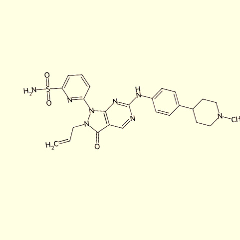 C=CCn1c(=O)c2cnc(Nc3ccc(C4CCN(C)CC4)cc3)nc2n1-c1cccc(S(N)(=O)=O)n1